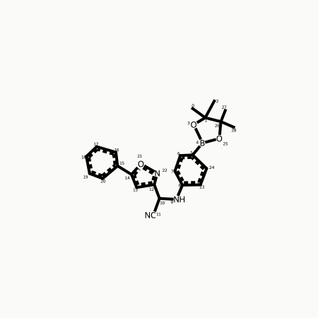 CC1(C)OB(c2ccc(NC(C#N)c3cc(-c4ccccc4)on3)cc2)OC1(C)C